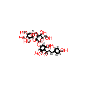 C[C@@H]1O[C@@H](O[C@@H]2C(Oc3cc(O)c(C(=O)CCc4ccc(O)cc4)c(O)c3)O[C@@H](CO)[C@H](O)[C@H]2O)[C@H](O)[C@H](O)[C@H]1O